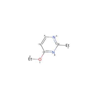 CCOc1[c]cnc(CC)n1